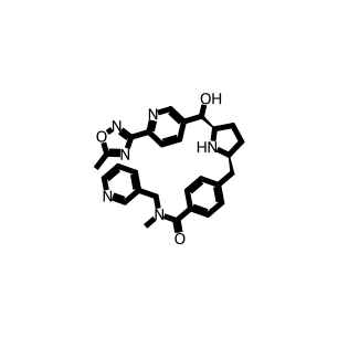 Cc1nc(-c2ccc(C(O)[C@H]3CC[C@@H](Cc4ccc(C(=O)N(C)Cc5cccnc5)cc4)N3)cn2)no1